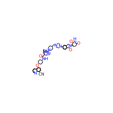 CCC(/N=C\C(=C/N)C(=O)N[C@H]1CC[C@H](Oc2ccc(C#N)c3ncccc23)CC1)N1CCC(CN2CCN(c3ccc4c(c3)CN([C@H]3CCC(=O)NC3=O)C4=O)CC2)CC1